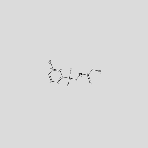 O=C(CBr)NCC(F)(F)c1cccc(Cl)c1